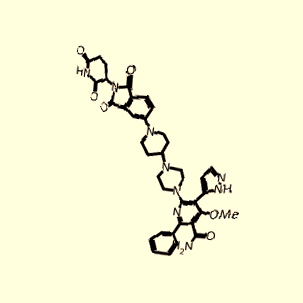 COc1c(C(N)=O)c(-c2ccccc2)nc(N2CCN(C3CCN(c4ccc5c(c4)C(=O)N(C4CCC(=O)NC4=O)C5=O)CC3)CC2)c1-c1ccn[nH]1